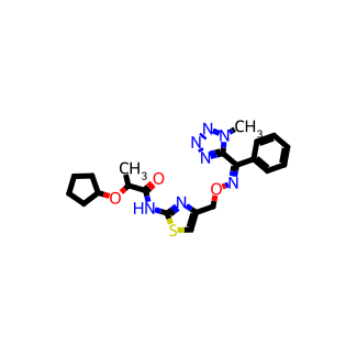 CC(OC1CCCC1)C(=O)Nc1nc(CON=C(c2ccccc2)c2nnnn2C)cs1